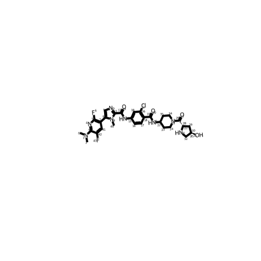 CN(C)c1nc(F)c(-c2cnc(C(=O)Nc3ccc(C(=O)NC4CCN(C(=O)[C@@H]5C[C@@H](O)CN5)CC4)c(Cl)c3)n2C)cc1F